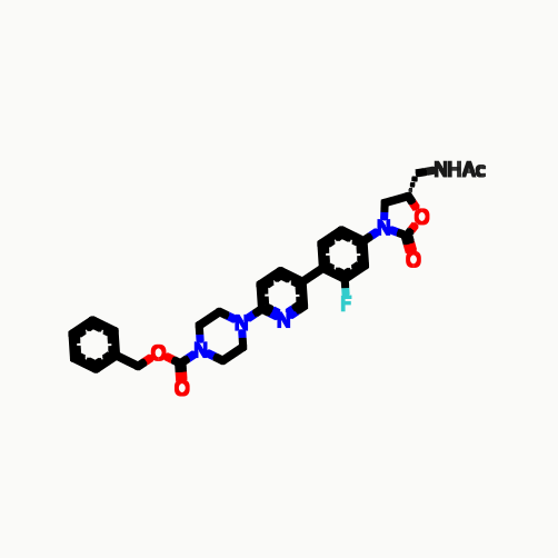 CC(=O)NC[C@H]1CN(c2ccc(-c3ccc(N4CCN(C(=O)OCc5ccccc5)CC4)nc3)c(F)c2)C(=O)O1